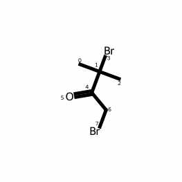 CC(C)(Br)C(=O)[CH]Br